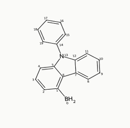 Bc1cccc2c1c1ccccc1n2-c1ccccc1